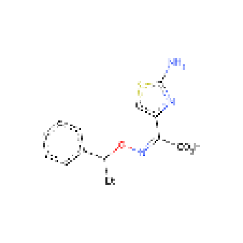 CCC(ON=C(C(=O)O)c1csc(N)n1)c1ccccc1